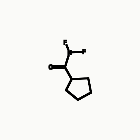 O=C(C1CCCC1)N(F)F